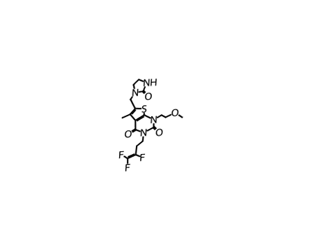 COCCn1c(=O)n(CCC(F)=C(F)F)c(=O)c2c(C)c(CN3CCNC3=O)sc21